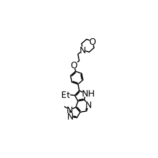 CCc1c(-c2ccc(OCCN3CCOCC3)cc2)[nH]c2ncc3cnn(C)c3c12